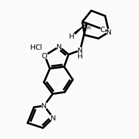 Cl.c1cnn(-c2ccc3c(N[C@H]4CN5CCC4CC5)noc3c2)c1